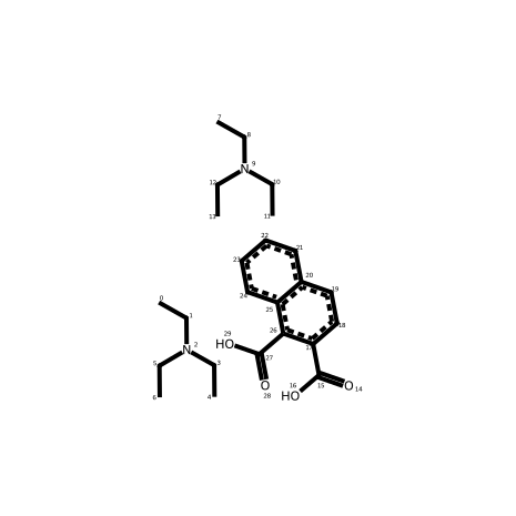 CCN(CC)CC.CCN(CC)CC.O=C(O)c1ccc2ccccc2c1C(=O)O